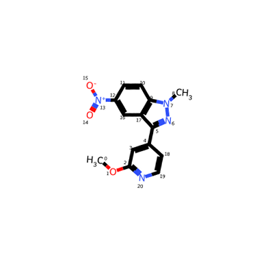 COc1cc(-c2nn(C)c3ccc([N+](=O)[O-])cc23)ccn1